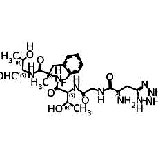 C[C@@H](O)[C@H](NC(=O)CNC(=O)[C@@H](N)CC1=NNNN1)C(=O)N[C@@](C)(Cc1ccccc1F)C(=O)N[C@H](C=O)[C@@H](C)O